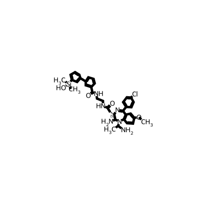 COc1ccc2c(c1)C(c1ccc(Cl)cc1)=N[C@@H](CC(=O)NCCNC(=O)c1cccc(-c3cccc([Si](C)(C)O)c3)c1)C(N)N2C(C)N